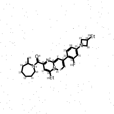 C/C=C(\C=C1\N=C(C(=O)N2CCCCCC2C)C=C(CC)N1C)c1ccc(N2CC(CC)C2)cc1F